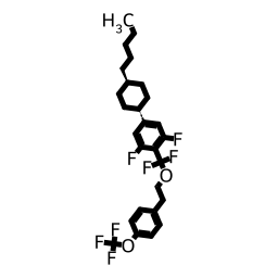 CCCCC[C@H]1CC[C@H](c2cc(F)c(C(F)(F)OCCc3ccc(OC(F)(F)F)cc3)c(F)c2)CC1